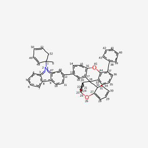 CC1(n2c3ccccc3c3ccc(-c4ccc5c(c4)C4(c6ccccc6OC6=CC=CCC64)c4cccc(-c6ccccc6)c4O5)cc32)C=CC=CC1